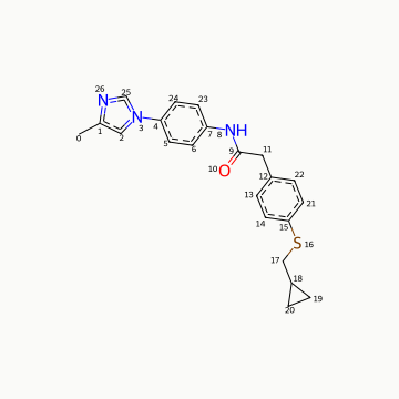 Cc1cn(-c2ccc(NC(=O)Cc3ccc(SCC4CC4)cc3)cc2)cn1